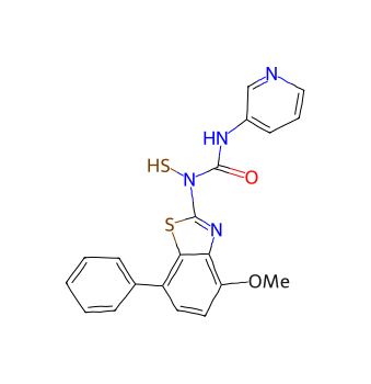 COc1ccc(-c2ccccc2)c2sc(N(S)C(=O)Nc3cccnc3)nc12